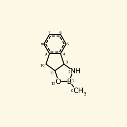 CB1NC2c3ccccc3CC2O1